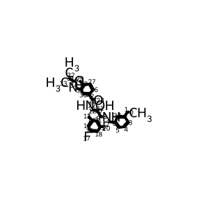 CCc1cccc(CNC[C@@H](O)[C@H](Cc2cc(F)cc(F)c2)NC(=O)c2ccc3oc(C(C)C)nc3c2)c1